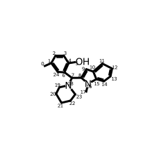 Cc1ccc(O)c(C(c2cc3ccccc3n2C)N2CCCCC2)c1